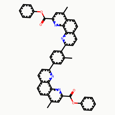 Cc1cc(-c2ccc3ccc4c(C)cc(C(=O)Oc5ccccc5)nc4c3n2)ccc1-c1ccc2ccc3c(C)cc(C(=O)Oc4ccccc4)nc3c2n1